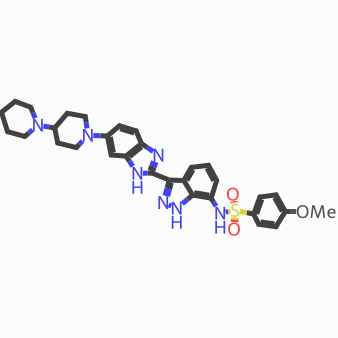 COc1ccc(S(=O)(=O)Nc2cccc3c(-c4nc5ccc(N6CCC(N7CCCCC7)CC6)cc5[nH]4)n[nH]c23)cc1